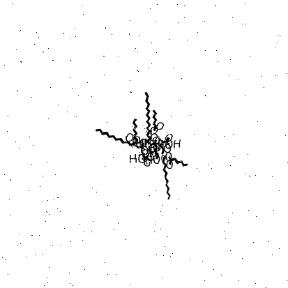 CCCCCCCCCCC[C@H](CC(=O)NC1C(OC[C@H](NC(=O)C[C@@H](CCCCCCCCCCC)OC(=O)CCCCC)C(=O)O)OC(CO)C(OP(=O)(O)O)C1OC(=O)C[C@@H](CCCCCCCCCCC)OC(=O)CCCCC)OC(=O)CCCCC